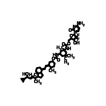 CC1CC[C@H](OC(=O)NC2CC(C)(C)CC(C)(NC(=O)OCC3OC(n4ccc(N)nc4=O)C(F)(F)C3O)C2)C/C1=C/C=C1\CCC[C@@]2(C)C1CCC2[C@@H](C)/C=C/C(O)C1CC1